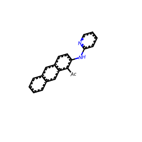 CC(=O)c1c(Nc2ccccn2)ccc2cc3ccccc3cc12